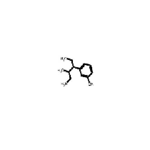 CCC(c1cccc(O)c1)C(C)CN